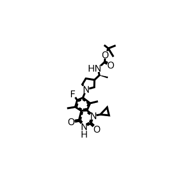 Cc1c(F)c(N2CCC([C@H](C)NC(=O)OC(C)(C)C)C2)c(C)c2c1c(=O)[nH]c(=O)n2C1CC1